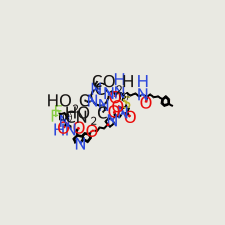 Cc1ccc(CCCC(=O)NCCCC[C@@H](CSC2CC(=O)N(CC(=O)N3CCC(CCCOc4ccc5nccc(C(=O)NCC(=O)N6CC(F)(F)C[C@@H]6C#N)c5c4)CC3)C2=O)NC(=O)CN2CCN(CC(=O)O)CCN(CC(=O)O)CCN(CC(=O)O)CC2)cc1